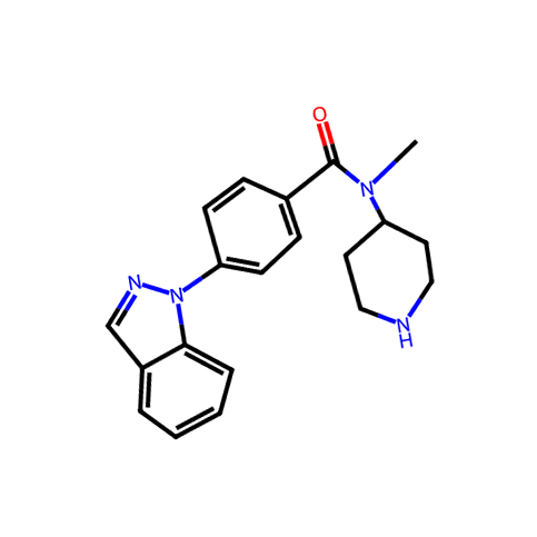 CN(C(=O)c1ccc(-n2ncc3ccccc32)cc1)C1CCNCC1